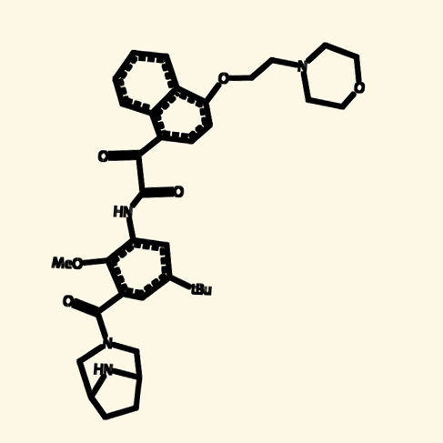 COc1c(NC(=O)C(=O)c2ccc(OCCN3CCOCC3)c3ccccc23)cc(C(C)(C)C)cc1C(=O)N1CC2CCC(C1)N2